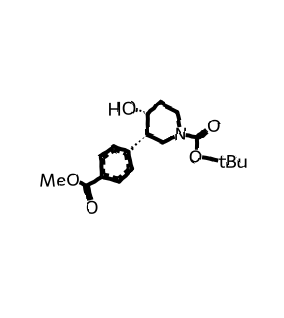 COC(=O)c1ccc([C@H]2CN(C(=O)OC(C)(C)C)CC[C@H]2O)cc1